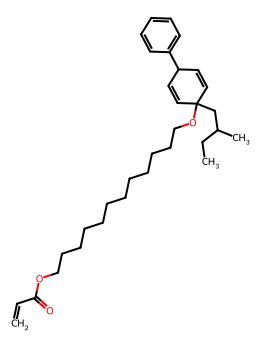 C=CC(=O)OCCCCCCCCCCCCOC1(CC(C)CC)C=CC(c2ccccc2)C=C1